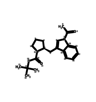 CC(=O)n1cc(C[C@@H]2CCCN2C(=O)OC(C)(C)C)c2ccccc21